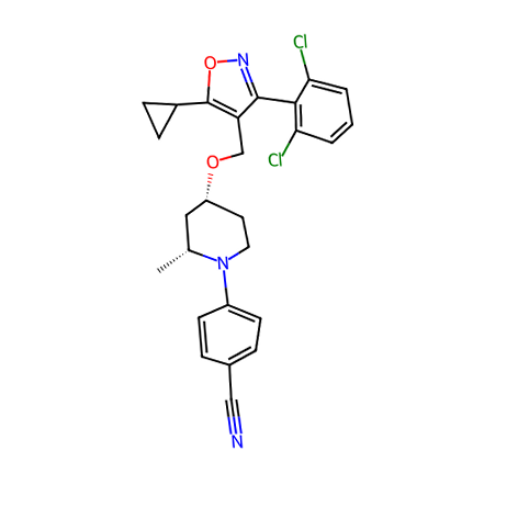 C[C@@H]1C[C@H](OCc2c(-c3c(Cl)cccc3Cl)noc2C2CC2)CCN1c1ccc(C#N)cc1